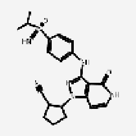 CC(C)S(=N)(=O)c1ccc(Nc2nn(C3CCCC3C#N)c3cc[nH]c(=O)c23)cc1